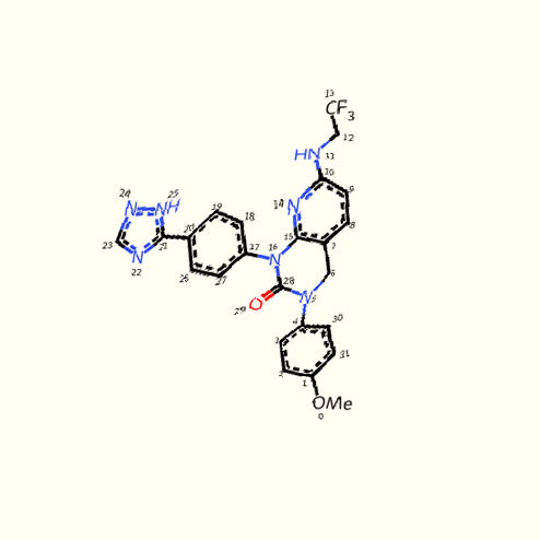 COc1ccc(N2Cc3ccc(NCC(F)(F)F)nc3N(c3ccc(-c4ncn[nH]4)cc3)C2=O)cc1